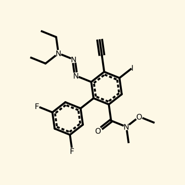 C#Cc1c(I)cc(C(=O)N(C)OC)c(-c2cc(F)cc(F)c2)c1/N=N/N(CC)CC